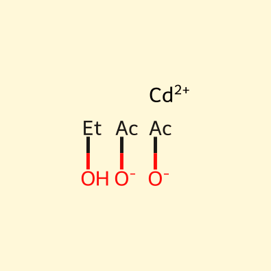 CC(=O)[O-].CC(=O)[O-].CCO.[Cd+2]